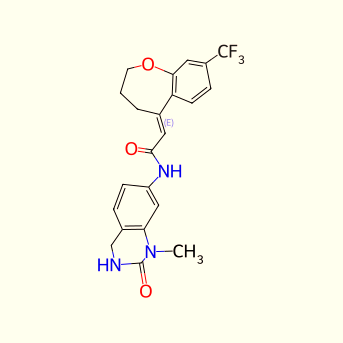 CN1C(=O)NCc2ccc(NC(=O)/C=C3\CCCOc4cc(C(F)(F)F)ccc43)cc21